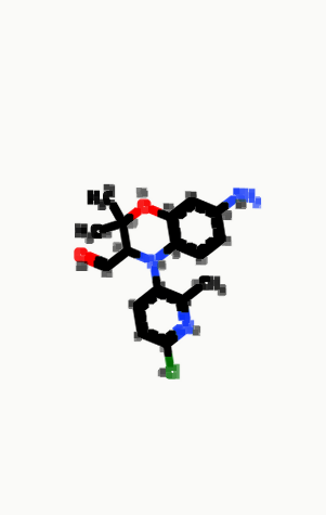 Cc1nc(Cl)ccc1N1c2ccc(N)cc2OC(C)(C)C1C=O